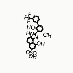 Cl.O=S(=O)(O)c1cc(O)c2c(ccc3[nH]c(-c4cccc(-c5cccc(C(F)(F)F)c5)c4O)nc32)c1